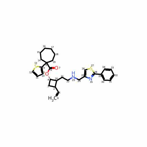 C=CC1C[C@H](OC(=O)C2(c3cccs3)CCCCCC2)C1CCNCc1csc(-c2ccccc2)n1